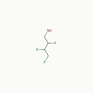 FCC(F)C(F)CS